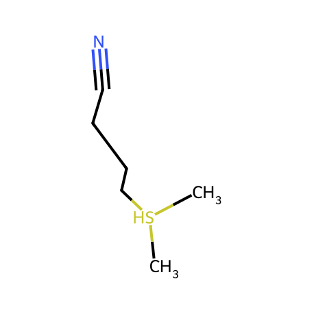 C[SH](C)CCCC#N